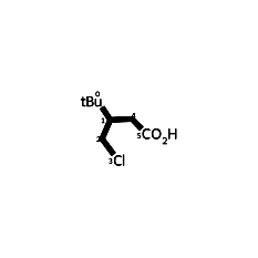 CC(C)(C)C(CCl)CC(=O)O